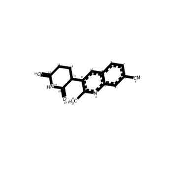 Cc1nc2cc(C#N)ccc2cc1C1CCC(=O)NC1=O